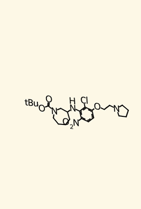 CC(C)(C)OC(=O)N1CCCCC(Nc2c([N+](=O)[O-])ccc(OCCN3CCCC3)c2Cl)C1